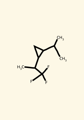 CC(C)C1CC1C(C)C(F)(F)F